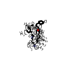 C/C=C(\C)C(OC(=O)C(C)(C)N)C(C)C(C/C=C(\C)C(=O)OC(CC(C)C)C(=O)NC(C)C(=O)N(C)C(Cc1ccc(Cl)cc1)C(=O)N(C)CC(=O)NC(C(=O)O)C(C)CC)OCSC